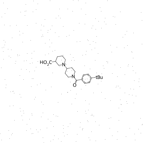 CC(C)(C)c1ccc(C(=O)N2CCC(N3CCCC(C(=O)O)C3)CC2)cc1